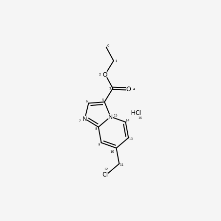 CCOC(=O)c1cnc2cc(CCl)ccn12.Cl